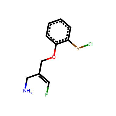 NCC(=CF)COc1ccccc1SCl